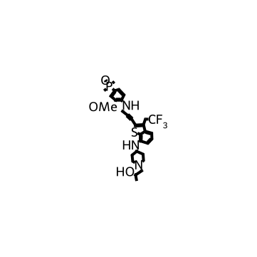 COc1cc(P(C)(C)=O)ccc1NCC#Cc1sc2c(NC3CCN(CC(C)O)CC3)cccc2c1CC(F)(F)F